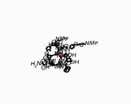 CNCCOCCOc1ccc(NC(=O)NC(=O)C[C@@H]2NC(=O)[C@H](NC(=O)[C@@H](CC(C)C)NC)[C@H](O)c3ccc(c(C)c3)Oc3cc4cc(c3O[C@@H]3O[C@H](CN)[C@@H](O)[C@H](O)[C@H]3O)Oc3ccc(cc3Cl)[C@@H](O)[C@@H]3NC(=O)[C@H](NC(=O)[C@@H]4NC2=O)c2ccc(O)c(c2)-c2c(C)cc(O)cc2[C@@H](C(=O)NC2C4CC5CC(C4)CC2C5)NC3=O)cc1